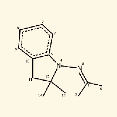 CC(C)=NN1c2ccccc2CC1(C)C